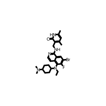 CCN(c1c(F)c(Br)cc2c(NCc3c(C)cc(C)[nH]c3=O)nccc12)C1CCC(N(C)C)CC1